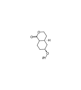 CC(C)O[C@H]1CCC2C(=O)OCC[C@H]2C1